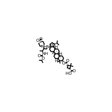 CC(C)OC(=O)NC(C)C(CN[C@]12CC[C@@H](C(C)C)[C@@H]1[C@H]1CC[C@@H]3[C@@]4(C)CC[C@H](OC(=O)[C@H]5C[C@@H](C(=O)O)C5(C)C)C(C)(C)[C@@H]4CC[C@@]3(C)[C@]1(C)CC2)N1CCS(=O)(=O)CC1